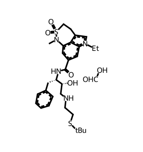 CCn1cc2c3c(cc(C(=O)N[C@@H](Cc4ccccc4)[C@H](O)CNCCSC(C)(C)C)cc31)N(C)S(=O)(=O)CC2.O=CO